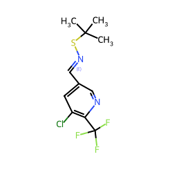 CC(C)(C)S/N=C/c1cnc(C(F)(F)F)c(Cl)c1